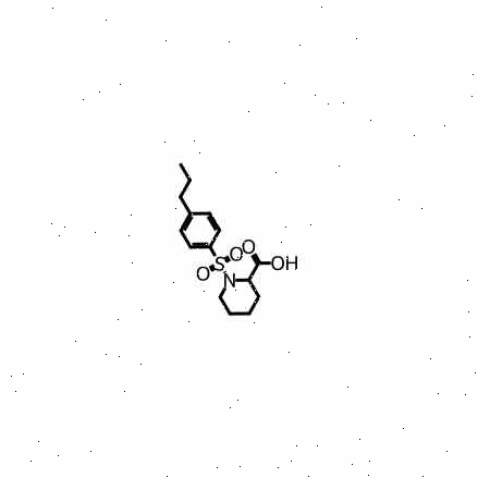 CCCc1ccc(S(=O)(=O)N2CCCCC2C(=O)O)cc1